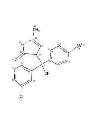 CSc1ccc(C(O)(c2cccc(Cl)c2)C2C=C(C)OC2=O)cc1